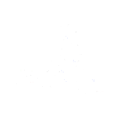 O=C(c1c(-c2ccc(O)nc2)nc(-c2ccc(OC(F)(F)F)cc2)n1C1CC1)N1CCC(N2CCCC2)CC1